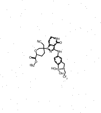 CC(C)(C)OC(=O)C1CCC(CC#N)(n2nc(Nc3ccc4c(c3)CN(CC(F)(F)F)S4(O)O)c3c(=O)[nH]ccc32)CO1